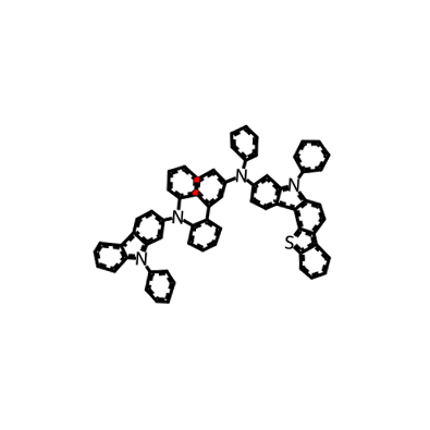 c1ccc(N(c2cccc(-c3ccccc3N(c3ccccc3)c3ccc4c5ccccc5n(-c5ccccc5)c4c3)c2)c2ccc3c4c5sc6ccccc6c5ccc4n(-c4ccccc4)c3c2)cc1